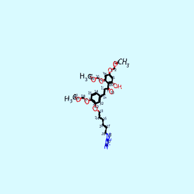 COCOc1cc(O)c(C(=O)/C=C/c2ccc(OCOC)c(OCCCCCCN=[N+]=[N-])c2)c(OCOC)c1